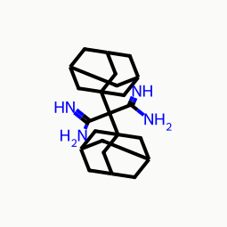 N=C(N)C(C(=N)N)(C12CC3CC(CC(C3)C1)C2)C12CC3CC(CC(C3)C1)C2